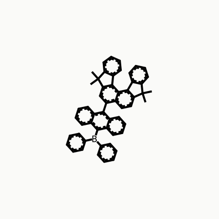 CC1(C)c2ccccc2-c2c1ccc1c(-c3c4ccccc4c(B(c4ccccc4)c4ccccc4)c4ccccc34)cc3c(c21)-c1ccccc1C3(C)C